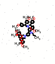 CCCCn1c2ccc(N(C=C(c3ccc(OC)cc3)c3ccc(OC)cc3)CC(c3ccc(OC)cc3)c3ccc(OC)cc3)cc2c2cc(N(C=C(c3ccc(OC)cc3)c3ccc(OC)cc3)CC(c3ccc(OC)cc3)c3ccc(OC)cc3)ccc21